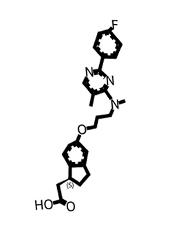 Cc1cnc(-c2ccc(F)cc2)nc1N(C)CCCOc1ccc2c(c1)CC[C@H]2CC(=O)O